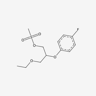 CCOCC(COS(C)(=O)=O)Oc1ccc(F)cc1